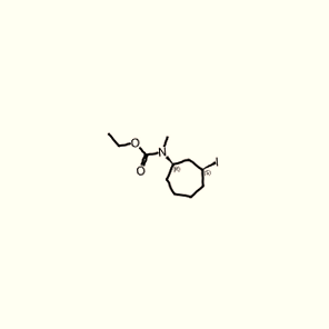 CCOC(=O)N(C)[C@@H]1CCCC[C@H](I)C1